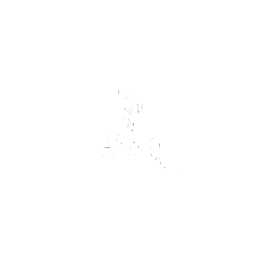 N#CCN(C(=O)NCc1ccccc1)N1CCN(Cc2cccc3sc(N)nc23)C(=O)[C@H](Cc2ccc(O)cc2)NC(=O)C1